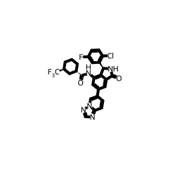 O=C1N[C@H](c2cc(F)ccc2Cl)c2c(NC(=O)[C@H]3CCC[C@H](C(F)(F)F)C3)cc(-c3ccc4ncnn4c3)cc21